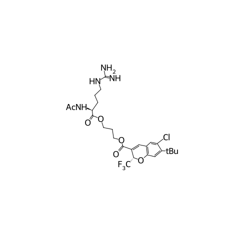 CC(=O)N[C@@H](CCCNC(=N)N)C(=O)OCCCOC(=O)C1=Cc2cc(Cl)c(C(C)(C)C)cc2O[C@@H]1C(F)(F)F